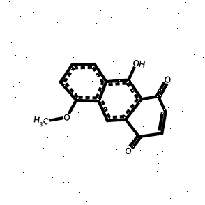 COc1cccc2c(O)c3c(cc12)C(=O)C=CC3=O